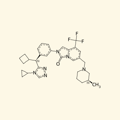 C[C@H]1CCCN(Cc2cc(C(F)(F)F)c3cn(-c4cccc([C@@H](c5nncn5C5CC5)C5CCC5)c4)c(=O)n3c2)C1